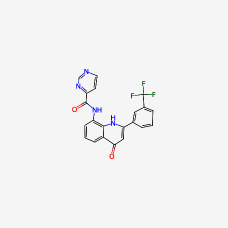 O=C(Nc1cccc2c(=O)cc(-c3cccc(C(F)(F)F)c3)[nH]c12)c1ccncn1